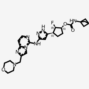 O=C(NC12CC(C1)C2)O[C@H]1CC[C@@H](c2cc(Nc3nccc4nc(CN5CCOCC5)cn34)n[nH]2)[C@H]1F